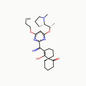 COCCOc1cc(O[C@@H](C)[C@@H]2CCCN2C)nc(C(=N)C2=C(O)[C@]3(CCCCC3=O)CCC2)n1